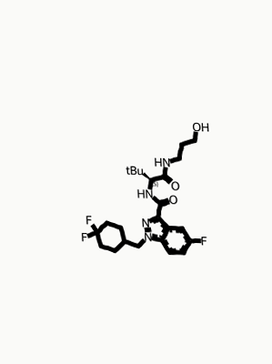 CC(C)(C)[C@H](NC(=O)c1nn(CC2CCC(F)(F)CC2)c2ccc(F)cc12)C(=O)NCCCO